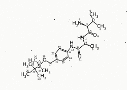 CC(C)[C@H](N)C(=O)N[C@@H](C)C(=O)Nc1ccc(CO[Si](C)(C)C(C)(C)C)cc1